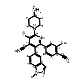 Cn1ncc2cc(-c3c(-c4ccc(C#N)c(F)c4)nc(N4CCC(N)CC4)c(F)c3C#N)ccc21